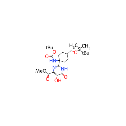 COC(=O)c1nc(C2(NC(=O)OC(C)(C)C)CCC(CO[Si](C)(C)C(C)(C)C)CC2)[nH]c(=O)c1O